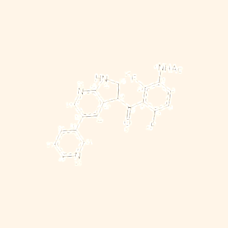 CC(=O)Nc1ccc(F)c(C(=O)C2CNc3ncc(-c4cccnc4)cc32)c1F